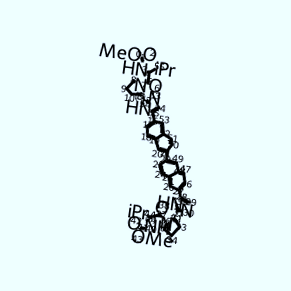 COC(=O)NC(C(=O)N1CCC[C@H]1c1ncc(-c2ccc3cc(-c4ccc5cc(-c6cnc([C@@H]7CCCN7C(=O)[C@@H](NC(=O)OC)C(C)C)[nH]6)ccc5c4)ccc3c2)[nH]1)C(C)C